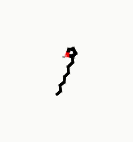 C[CH]CCCCCCc1ccco1